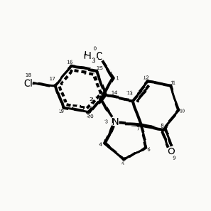 CCCN1CCCC12C(=O)CCC=C2c1ccc(Cl)cc1